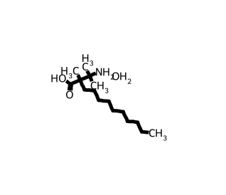 CCCCCCCCCCC(C)(C(=O)O)C(C)(C)N.O